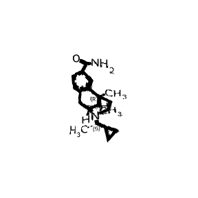 C[C@@H](C1CC1)N1CC[C@@]2(C)c3cc(C(N)=O)ccc3C[C@@H]1[C@@H]2C